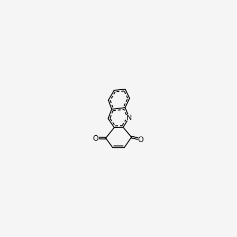 O=C1C=CC(=O)c2nc3ccccc3cc21